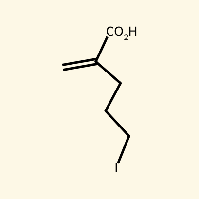 C=C(CCCI)C(=O)O